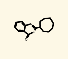 O=c1oc(C2CCCCCCC2)nc2ccccc12